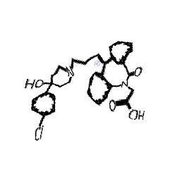 O=C(O)CN1C(=O)c2ccccc2/C(=C/CCN2CCC(O)(c3ccc(Cl)cc3)CC2)c2ccccc21